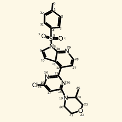 Cc1ccc(S(=O)(=O)n2ccc3c(-c4nc(Cl)cc(N5CCOCC5C)n4)ccnc32)cc1